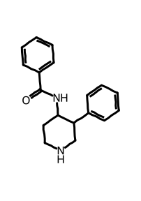 O=C(NC1CCNCC1c1ccccc1)c1ccccc1